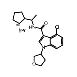 CCC[C@@H]1CCCC1C(C)NC(=O)c1cn(C2CCOC2)c2cccc(Cl)c12